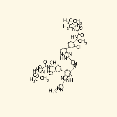 C[C@H](NC(=O)c1nc(C(C)(C)C)no1)c1ccc(-c2ccnc3[nH]c(-c4cnn(Cc5cc(-c6ccc([C@@H](C)NC(=O)c7nc(C(C)(C)C)no7)c(Cl)c6)c6nc(-c7cnn(C)c7)[nH]c6n5)c4)nc23)cc1Cl